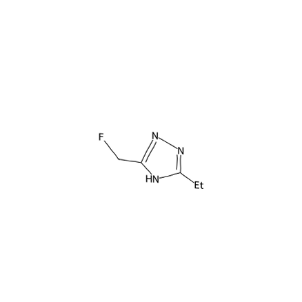 CCc1nnc(CF)[nH]1